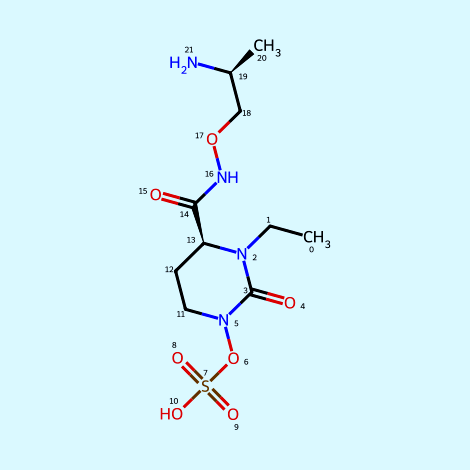 CCN1C(=O)N(OS(=O)(=O)O)CC[C@H]1C(=O)NOC[C@H](C)N